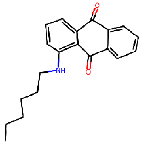 CCCCCCNc1cccc2c1C(=O)c1ccccc1C2=O